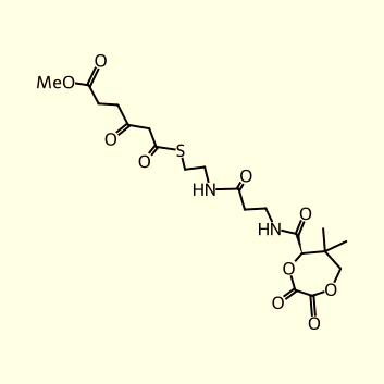 COC(=O)CCC(=O)CC(=O)SCCNC(=O)CCNC(=O)[C@@H]1OC(=O)C(=O)OCC1(C)C